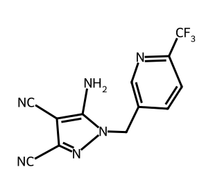 N#Cc1nn(Cc2ccc(C(F)(F)F)nc2)c(N)c1C#N